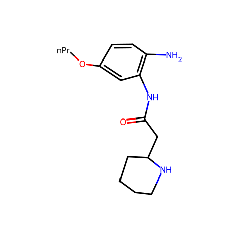 CCCOc1ccc(N)c(NC(=O)CC2CCCCN2)c1